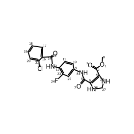 COC(=O)C1=C(C(=O)Nc2ccc(NC(=O)c3ccccc3Cl)c(F)c2)NCN1